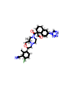 Cc1c([C@@H]2CN3CCN(C(=O)C4(C=O)C=CCc5cc(-n6cnnn6)ccc54)C[C@@H]3CO2)ccc(F)c1C#N